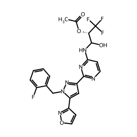 CC(=O)O[C@@H](C(O)Nc1ccnc(-c2cc(-c3ccon3)n(Cc3ccccc3F)n2)n1)C(F)(F)F